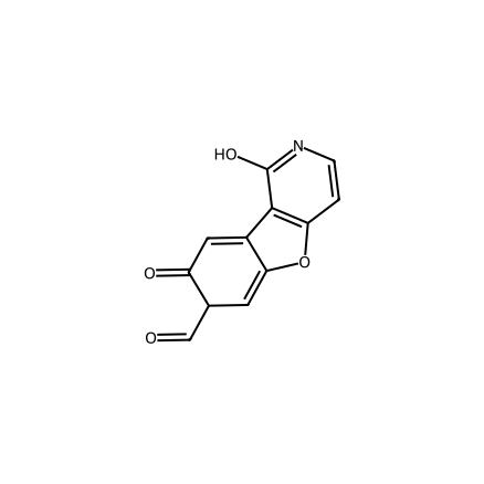 O=CC1C=c2oc3ccnc(O)c3c2=CC1=O